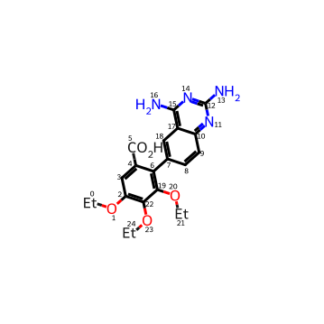 CCOc1cc(C(=O)O)c(-c2ccc3nc(N)nc(N)c3c2)c(OCC)c1OCC